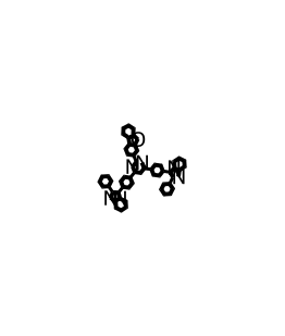 c1ccc(-c2nc3ccccn3c2-c2ccc(-c3cc(-c4ccc(-c5c(-c6ccccc6)nc6ccccn56)cc4)nc(-c4ccc5c(c4)oc4ccccc45)n3)cc2)cc1